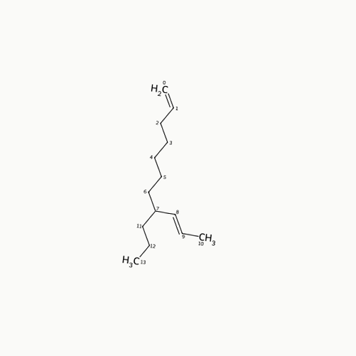 C=CCCCCCC(C=CC)CCC